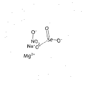 O=[N+]([O-])[O-].O=[Se]([O-])[O-].[Mg+2].[Na+]